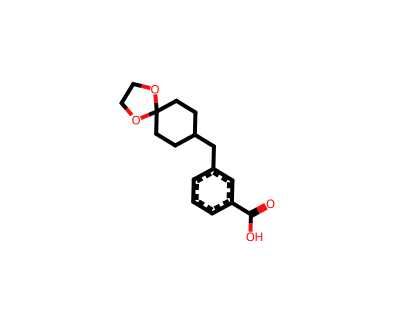 O=C(O)c1cccc(CC2CCC3(CC2)OCCO3)c1